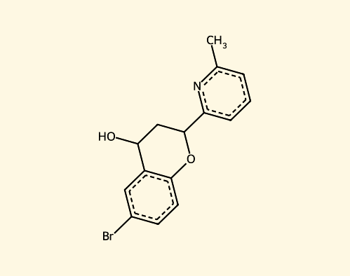 Cc1cccc(C2CC(O)c3cc(Br)ccc3O2)n1